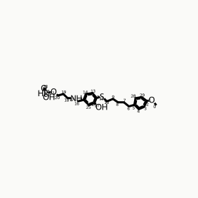 COc1ccc(CCCCCSc2ccc(CNCCCO[PH](=O)O)cc2O)cc1